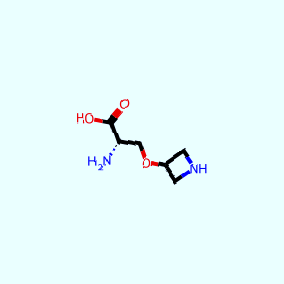 N[C@@H](COC1CNC1)C(=O)O